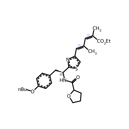 CCCCOc1ccc(C[C@H](NC(=O)C2CCCO2)c2nc(/C=C(C)/C=C(/C)C(=O)OCC)cs2)cc1